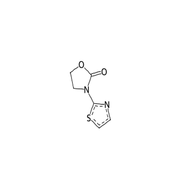 O=C1OCCN1c1nccs1